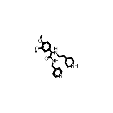 COc1ccc(C(NCCC2CCNCC2)C(=O)NCc2ccncc2)cc1OC